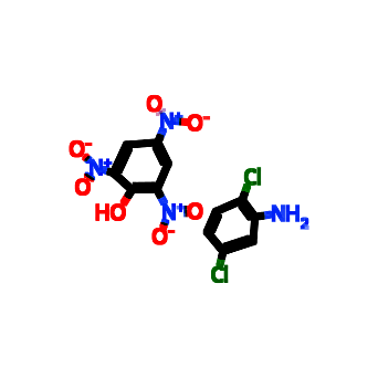 Nc1cc(Cl)ccc1Cl.O=[N+]([O-])c1cc([N+](=O)[O-])c(O)c([N+](=O)[O-])c1